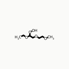 CCOC(COCCOC)OO